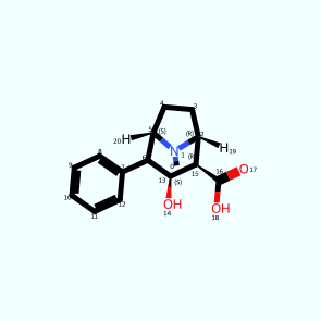 CN1[C@@H]2CC[C@H]1C(c1ccccc1)[C@H](O)[C@@H]2C(=O)O